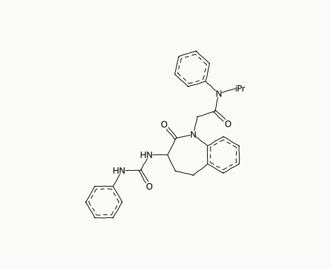 CC(C)N(C(=O)CN1C(=O)C(NC(=O)Nc2ccccc2)CCc2ccccc21)c1ccccc1